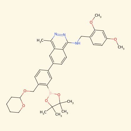 COc1ccc(CNc2nnc(C)c3cc(-c4ccc(COC5CCCCO5)c(B5OC(C)(C)C(C)(C)O5)c4)ccc23)c(OC)c1